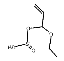 C=CC(OCC)O[Si](=O)O